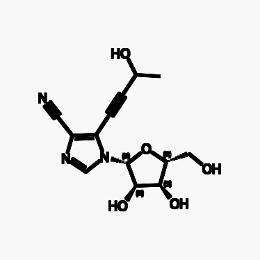 CC(O)C#Cc1c(C#N)ncn1[C@@H]1O[C@H](CO)[C@@H](O)[C@H]1O